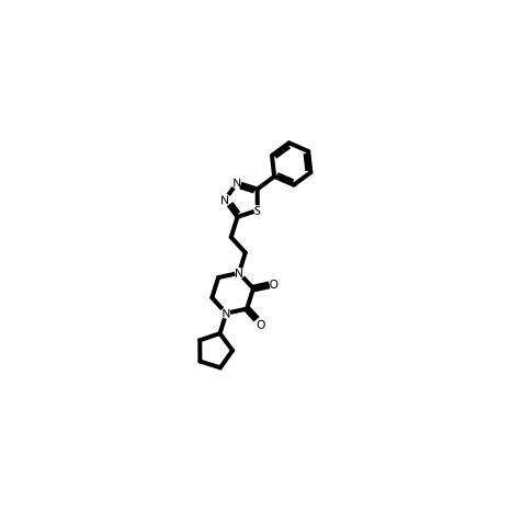 O=C1C(=O)N(C2CCCC2)CCN1CCc1nnc(-c2ccccc2)s1